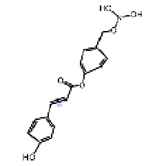 O=C(/C=C/c1ccc(O)cc1)Oc1ccc(CON(O)O)cc1